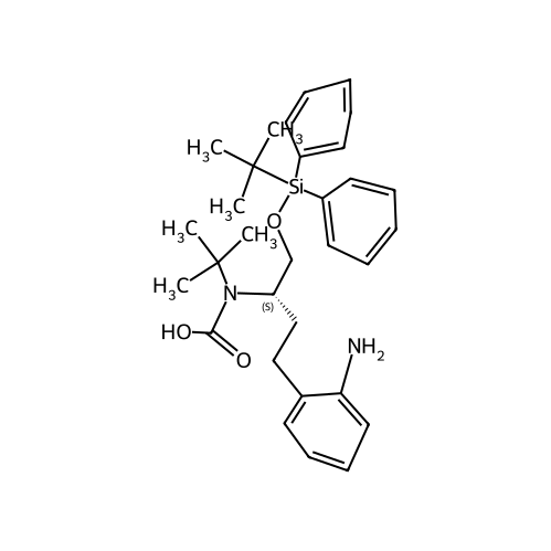 CC(C)(C)N(C(=O)O)[C@@H](CCc1ccccc1N)CO[Si](c1ccccc1)(c1ccccc1)C(C)(C)C